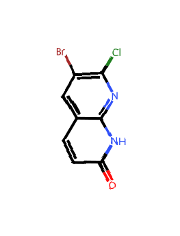 O=c1ccc2cc(Br)c(Cl)nc2[nH]1